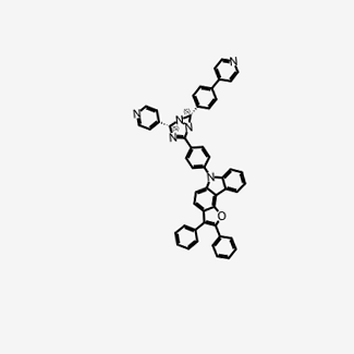 c1ccc(-c2oc3c(ccc4c3c3ccccc3n4-c3ccc(C4=N[C@H](c5ccncc5)N5[C@H](c6ccc(-c7ccncc7)cc6)N45)cc3)c2-c2ccccc2)cc1